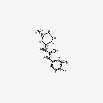 Cc1ccc(NC(=O)N[C@@H]2CCCN(C(C)C)C2)cc1C